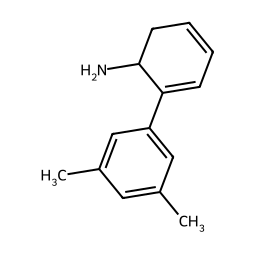 Cc1cc(C)cc(C2=CC=CCC2N)c1